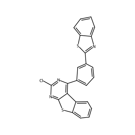 Clc1nc(-c2cccc(-c3nc4ccccc4s3)c2)c2c(n1)sc1ccccc12